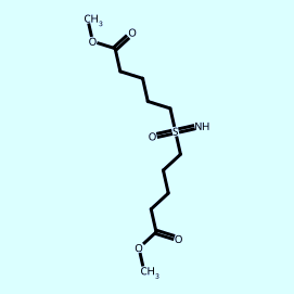 COC(=O)CCCCS(=N)(=O)CCCCC(=O)OC